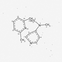 CN(C)c1ccncc1.Cc1cccc(C)n1